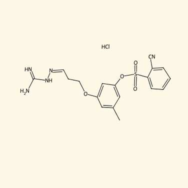 Cc1cc(OCC/C=N\NC(=N)N)cc(OS(=O)(=O)c2ccccc2C#N)c1.Cl